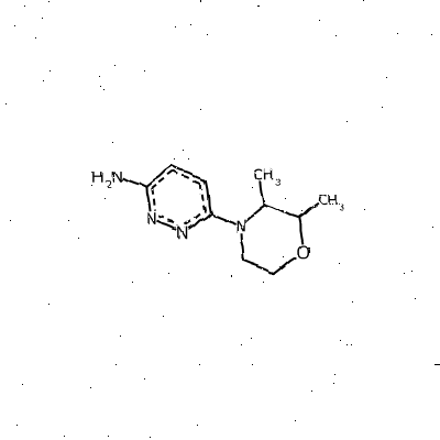 CC1OCCN(c2ccc(N)nn2)C1C